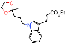 CCOC(=O)C=Cc1cn(CCCC2(C)OCCO2)c2ccccc12